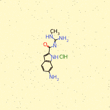 CNC(N)=NC(=O)c1cc2ccc(N)cc2[nH]1.Cl